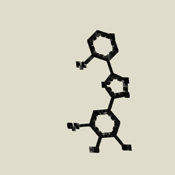 O=[N+]([O-])c1cc(-c2nc(-c3cnccc3C(F)(F)F)no2)cc(O)c1O